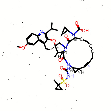 COc1ccc2nc(C(C)C)c3c(c2c1)CC[C@@]1(CN2C(=O)[C@@H](N(C(=O)O)C4CC4)CCCCC/C=C\[C@@H]4C[C@@]4(C(=O)NS(=O)(=O)C4(C)CC4)NC(=O)[C@@H]2C1C)O3